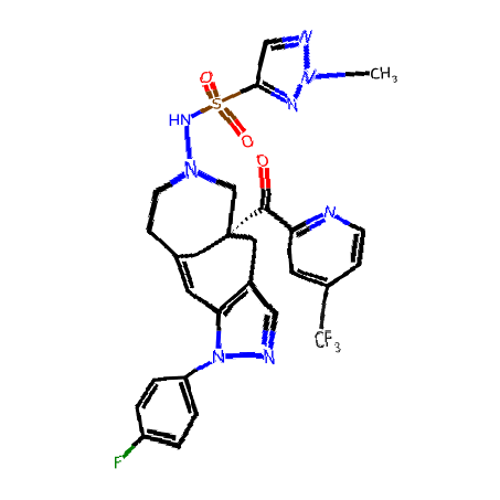 Cn1ncc(S(=O)(=O)NN2CCC3=Cc4c(cnn4-c4ccc(F)cc4)C[C@]3(C(=O)c3cc(C(F)(F)F)ccn3)C2)n1